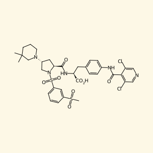 CC1(C)CCCN([C@@H]2C[C@@H](C(=O)N[C@@H](Cc3ccc(NC(=O)c4c(Cl)cncc4Cl)cc3)C(=O)O)N(S(=O)(=O)c3cccc(S(C)(=O)=O)c3)C2)C1